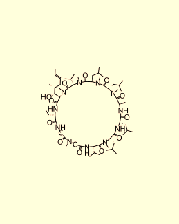 C/C=C/C[C@@H](C)[C@@H](O)[C@H]1C(=O)N[C@@H](CC)C(=O)NCC(=O)N(C)CC(=O)N[C@@H](C(C)C)C(=O)N(C)[C@@H](CC(C)C)C(=O)N[C@@H](CC(C)C)C(=O)N[C@H](C)C(=O)N(C)[C@@H](CC(C)C)C(=O)N(C)[C@H](CC(C)C)C(=O)N(C)[C@@H](C(C)C)C(=O)N1C